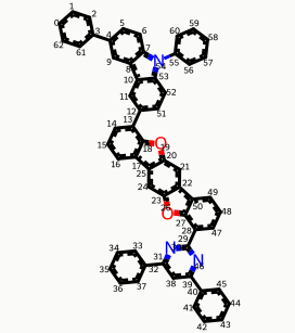 c1ccc(-c2ccc3c(c2)c2cc(-c4cccc5c4oc4cc6c(cc45)oc4c(-c5nc(-c7ccccc7)cc(-c7ccccc7)n5)cccc46)ccc2n3-c2ccccc2)cc1